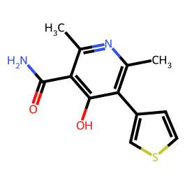 Cc1nc(C)c(-c2ccsc2)c(O)c1C(N)=O